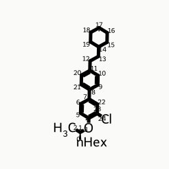 CCCCCC[C@@H](C)Oc1ccc(-c2ccc(CCC3CC[CH]CC3)cc2)cc1Cl